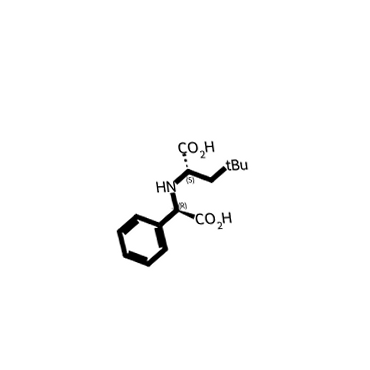 CC(C)(C)C[C@H](N[C@@H](C(=O)O)c1ccccc1)C(=O)O